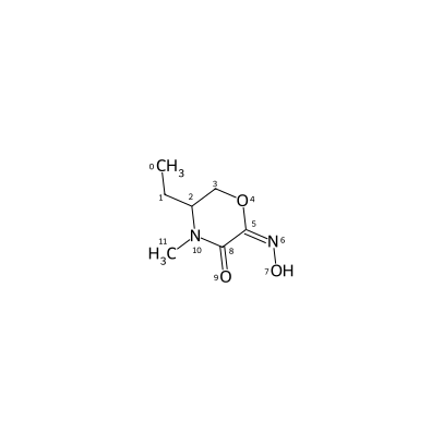 CCC1COC(=NO)C(=O)N1C